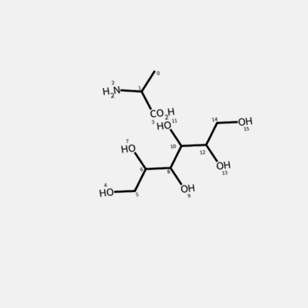 CC(N)C(=O)O.OCC(O)C(O)C(O)C(O)CO